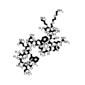 CC[C@H](C)[C@H](NC(C)=O)C(=O)N[C@@H](CS)C(=O)N[C@H](C(=O)N[C@@H](Cc1cn(C)c2ccccc12)C(=O)N[C@@H](CCC(N)=O)C(=O)N[C@@H](CC(=O)O)C(=O)N[C@@H](Cc1c[nH]c2ccccc12)C(=O)NCC(=O)N[C@@H](C)C(=O)N[C@@H](Cc1c[nH]cn1)C(=O)N[C@@H](CCCNC(=N)N)C(=O)N[C@@H](CS)C(=O)N[C@H](C(=O)N(C(=O)COCCOCCN)[C@@H](CCCCN)C(N)=O)[C@@H](C)O)C(C)C